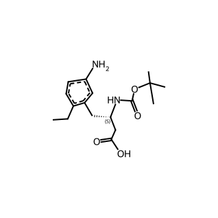 CCc1ccc(N)cc1C[C@@H](CC(=O)O)NC(=O)OC(C)(C)C